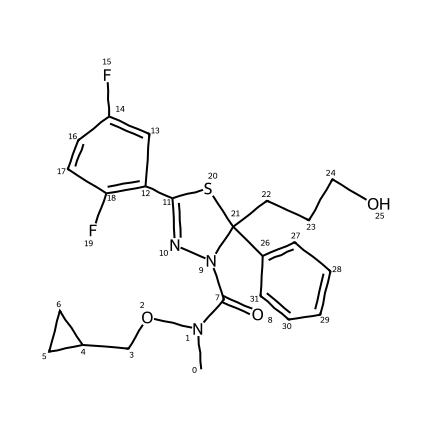 CN(OCC1CC1)C(=O)N1N=C(c2cc(F)ccc2F)SC1(CCCO)c1ccccc1